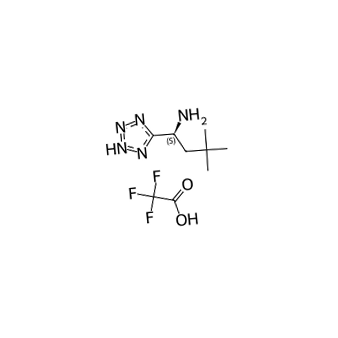 CC(C)(C)C[C@H](N)c1nn[nH]n1.O=C(O)C(F)(F)F